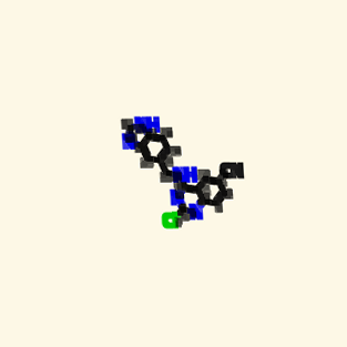 N#Cc1ccc2nc(Cl)nc(NCc3ccc4[nH]cnc4c3)c2c1